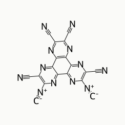 [C-]#[N+]c1nc2c(nc1C#N)c1nc(C#N)c(C#N)nc1c1nc(C#N)c([N+]#[C-])nc12